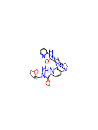 O=C(NC[C@H]1CCCO1)C1C=CC2=C(N1)N(C(=O)Nc1ccccn1)[C@H]1CCN2C1